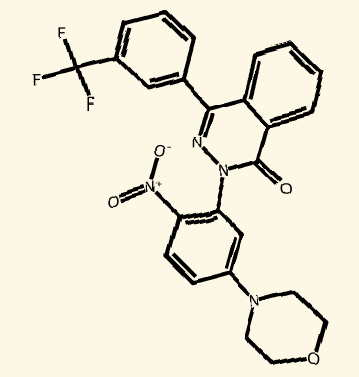 O=c1c2ccccc2c(-c2cccc(C(F)(F)F)c2)nn1-c1cc(N2CCOCC2)ccc1[N+](=O)[O-]